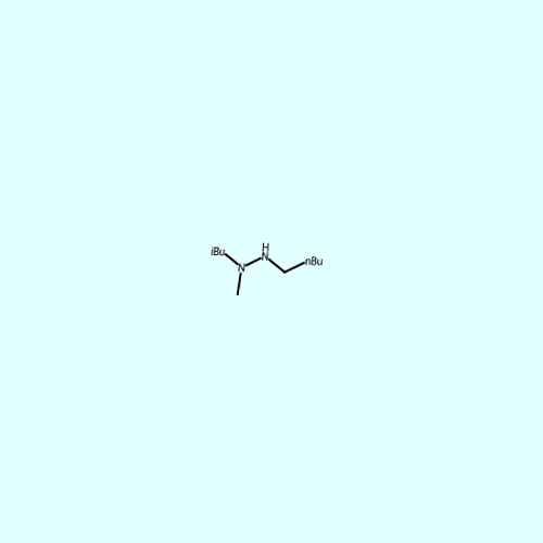 CCCCCNN(C)C(C)CC